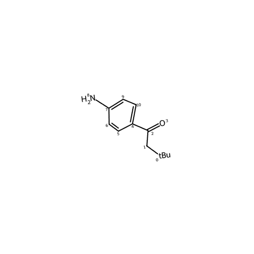 CC(C)(C)CC(=O)c1ccc(N)cc1